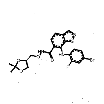 CC1(C)OC[C@H](CONC(=O)c2ccc3cnsc3c2Nc2ccc(Br)cc2F)O1